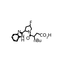 CCCCC(CC(=O)O)C(=O)N1CC(F)CC1c1nc2ccccc2[nH]1